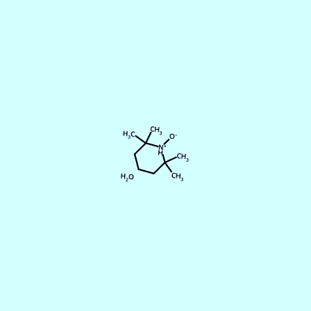 CC1(C)CCCC(C)(C)[NH+]1[O-].O